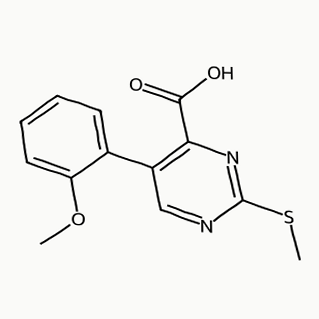 COc1ccccc1-c1cnc(SC)nc1C(=O)O